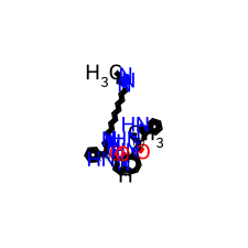 CN[C@@H](Cc1c[nH]c2ccccc12)C(=O)N[C@H]1CCCC[C@H]2CC[C@@H](C(=O)N[C@H](c3ccccc3)c3cn(CCCCCCCCCCn4cc(C)nn4)nn3)N2C1=O